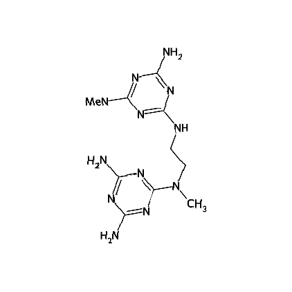 CNc1nc(N)nc(NCCN(C)c2nc(N)nc(N)n2)n1